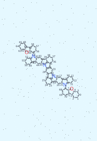 c1ccc2c(c1)oc1c(-n3c4ccccc4c4cc5c(cc43)c3cccc4c6cc7c(cc6n5c34)c3cccc4c5cc6c(cc5n7c43)c3ccccc3n6-c3cccc4c3oc3ccccc34)cccc12